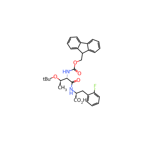 C[C@@H](OC(C)(C)C)[C@H](NC(=O)OCC1c2ccccc2-c2ccccc21)C(=O)N[C@@H](Cc1ccccc1F)C(=O)O